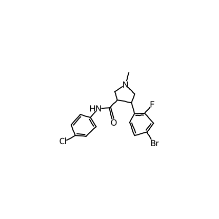 CN1CC(C(=O)Nc2ccc(Cl)cc2)C(c2ccc(Br)cc2F)C1